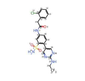 NS(=O)(=O)c1cc(NC(=O)Cc2ccccc2Cl)ccc1-c1cnc(NCC(F)(F)F)nc1